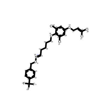 FC(F)(F)c1ccc(CO/N=C/CCCCOc2c(Cl)cc(OCC=C(Cl)Cl)cc2Cl)cc1